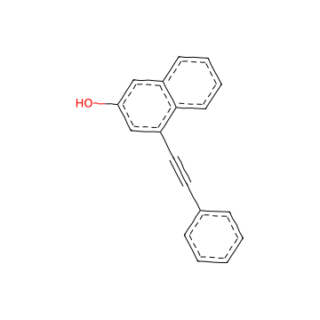 Oc1cc(C#Cc2ccccc2)c2ccccc2c1